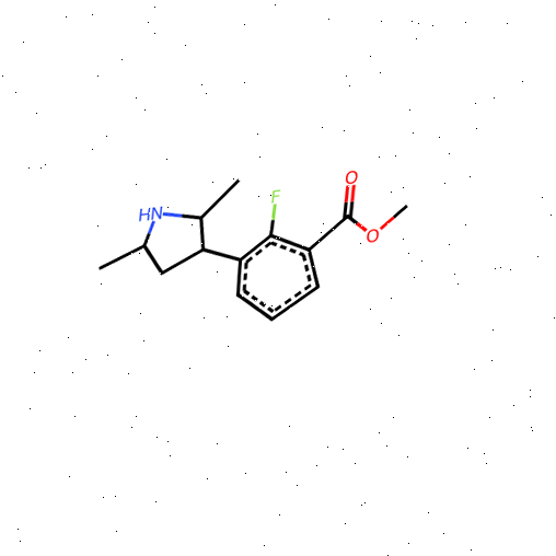 COC(=O)c1cccc(C2CC(C)NC2C)c1F